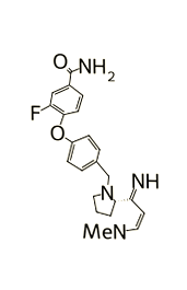 CN/C=C\C(=N)[C@@H]1CCCN1Cc1ccc(Oc2ccc(C(N)=O)cc2F)cc1